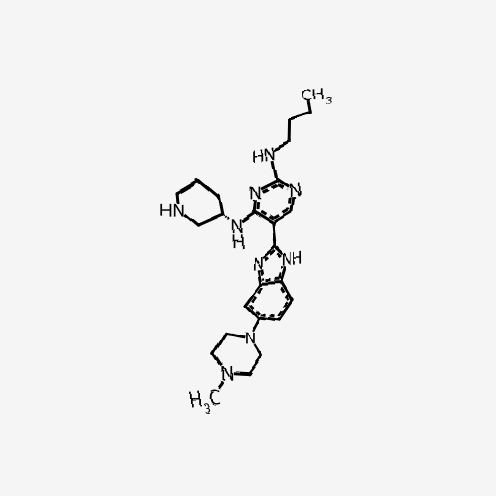 CCCCNc1ncc(-c2nc3cc(N4CCN(C)CC4)ccc3[nH]2)c(N[C@H]2CCCNC2)n1